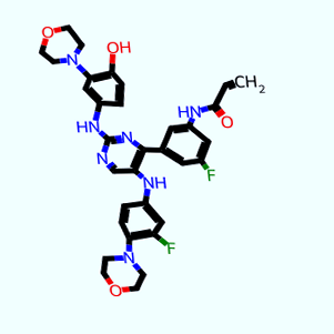 C=CC(=O)Nc1cc(F)cc(-c2nc(Nc3ccc(O)c(N4CCOCC4)c3)ncc2Nc2ccc(N3CCOCC3)c(F)c2)c1